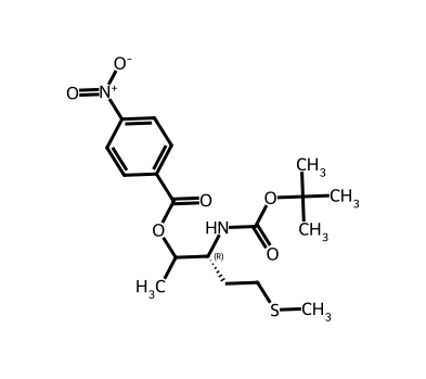 CSCC[C@@H](NC(=O)OC(C)(C)C)C(C)OC(=O)c1ccc([N+](=O)[O-])cc1